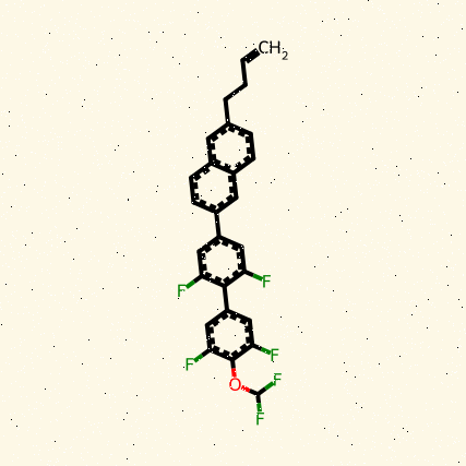 C=CCCc1ccc2cc(-c3cc(F)c(-c4cc(F)c(OC(F)F)c(F)c4)c(F)c3)ccc2c1